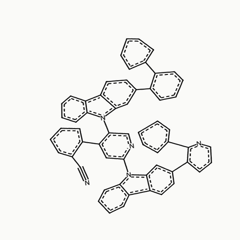 N#Cc1ccccc1-c1cc(-n2c3ccccc3c3ccc(-c4cccnc4-c4ccccc4)cc32)ncc1-n1c2ccccc2c2ccc(-c3ccccc3-c3ccccc3)cc21